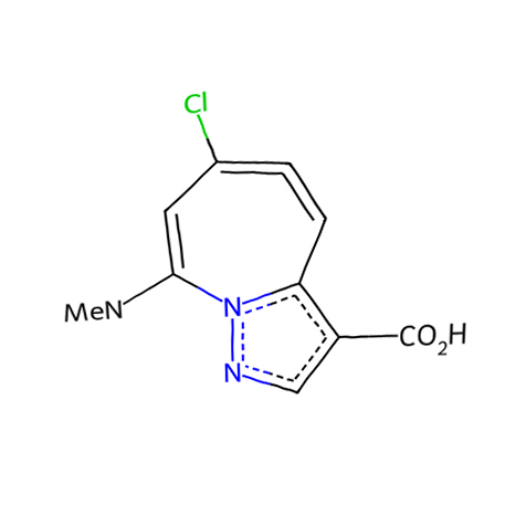 CNC1=CC(Cl)=C=Cc2c(C(=O)O)cnn21